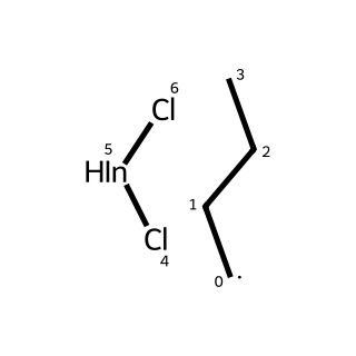 [CH2]CCC.[Cl][InH][Cl]